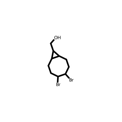 OCC1C2CCC(Br)C(Br)CCC12